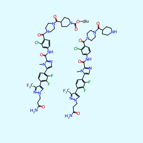 Cn1c(-c2ccc(-c3cn(CCC(N)=O)nc3C(F)(F)F)c(F)c2F)cnc1C(=O)Nc1ccc(C(=O)N2CCN(C(=O)C3CCN(C(=O)OC(C)(C)C)CC3)CC2)c(Cl)c1.Cn1c(-c2ccc(-c3cn(CCC(N)=O)nc3C(F)(F)F)c(F)c2F)cnc1C(=O)Nc1ccc(C(=O)N2CCN(C(=O)C3CCNCC3)CC2)c(Cl)c1